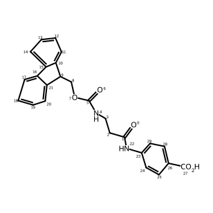 O=C(CCNC(=O)OCC1c2ccccc2-c2ccccc21)Nc1ccc(C(=O)O)cc1